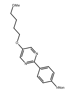 CCCCCCCCCc1ccc(-c2ncc(OCCCCOC)cn2)cc1